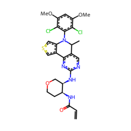 C=CC(=O)N[C@H]1CCOC[C@H]1Nc1ncc2c(n1)-c1cscc1N(c1c(Cl)c(OC)cc(OC)c1Cl)C2C